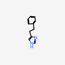 [c]1nc(CCc2ccccc2)c[nH]1